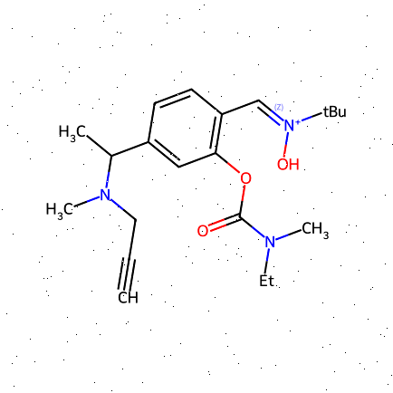 C#CCN(C)C(C)c1ccc(/C=[N+](\O)C(C)(C)C)c(OC(=O)N(C)CC)c1